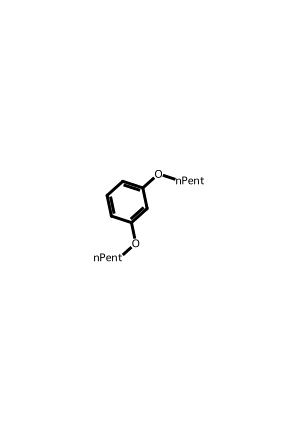 CCCCCOc1cccc(OCCCCC)c1